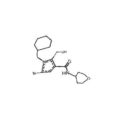 O=C(NC1CCOCC1)c1cc(Br)n(CC2CCCCC2)c1CO